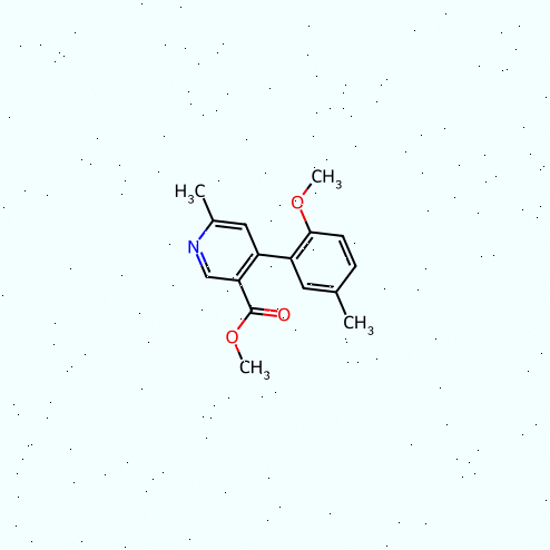 COC(=O)c1cnc(C)cc1-c1cc(C)ccc1OC